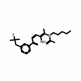 C=C(/C=C\C(N)=C(/C)N(CCCCC)C(=C)C)c1cccc(CC(C)(C)F)c1